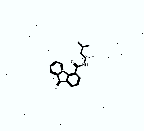 [CH2][C@@H](CC(C)C)NC(=O)c1cccc2c1-c1ccccc1C2=O